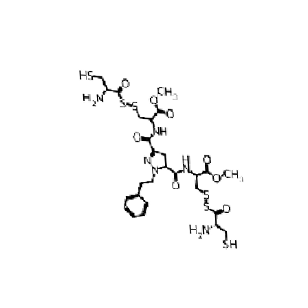 COC(=O)C(CSSC(=O)[C@@H](N)CS)NC(=O)C1=NN(CCc2ccccc2)C(C(=O)NC(CSSC(=O)[C@@H](N)CS)C(=O)OC)C1